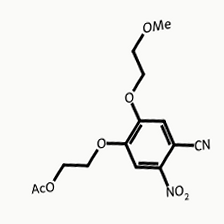 COCCOc1cc(C#N)c([N+](=O)[O-])cc1OCCOC(C)=O